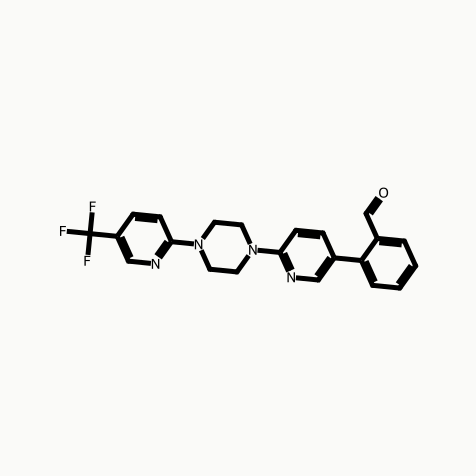 O=Cc1ccccc1-c1ccc(N2CCN(c3ccc(C(F)(F)F)cn3)CC2)nc1